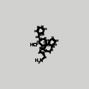 Cl.NCc1cnc2n1CCc1ccccc1C21CCN(Cc2ccccc2)CC1